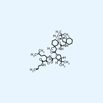 C=CCNC(=O)C(=O)C(CCC(C)C)NC(=O)[C@@H]1[C@@H]2[C@H](CN1C(=O)[C@@H](NC(=O)NC1(CS(=O)(=O)C(C)(C)C)CCCCC1)C1(C)CCCCC1)C2(C)C